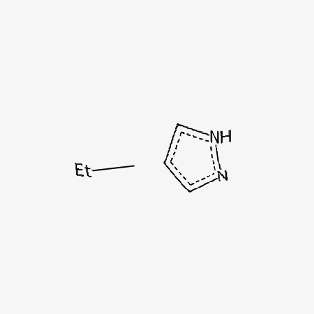 CCC.c1cn[nH]c1